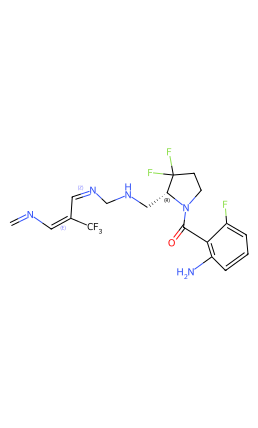 C=N/C=C(\C=N/CNC[C@H]1N(C(=O)c2c(N)cccc2F)CCC1(F)F)C(F)(F)F